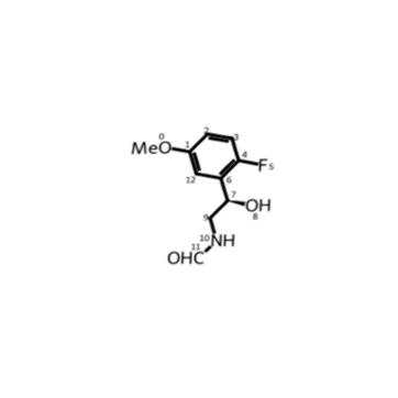 COc1ccc(F)c([C@@H](O)CNC=O)c1